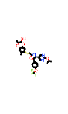 Cc1cc(OC(C)C(=O)O)ccc1SCc1nc(-c2cnc(OC(C)C)nc2)c(-c2ccc(OC(F)(F)F)cc2)o1